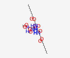 CCCCCCCCCCCC(=O)OCCCCNC(=O)CCC(NC(=O)C(CCCNC(=O)OC(C)(C)C)NC(=O)OC(C)(C)C)C(=O)NCCCCOC(=O)CCCCCCCCCCC